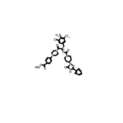 CCCCOC(=O)c1ccc(N2CCN(C(=O)[C@@H](Cc3cc(Cl)c(N)c(C(F)(F)F)c3)OC(=O)N3CCC(n4nc(-c5ccccc5)[nH]c4=O)CC3)CC2)cc1